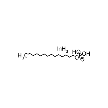 CCCCCCCCCCCCCCOP(=O)(O)O.[InH3]